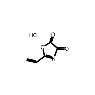 C=CC1=NC(=O)C(=O)O1.Cl